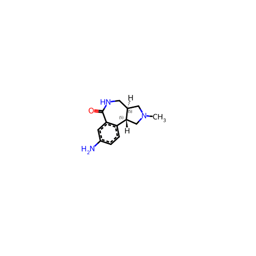 CN1C[C@@H]2CNC(=O)c3cc(N)ccc3[C@H]2C1